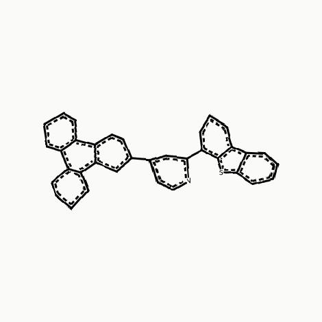 c1ccc2c(c1)sc1c(-c3cc(-c4ccc5c6ccccc6c6ccccc6c5c4)ccn3)cccc12